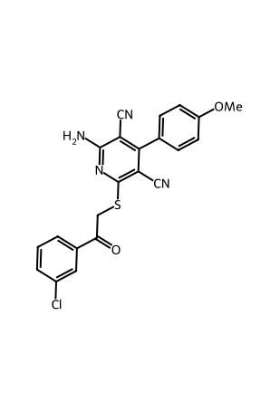 COc1ccc(-c2c(C#N)c(N)nc(SCC(=O)c3cccc(Cl)c3)c2C#N)cc1